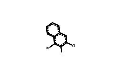 Clc1cc2ccccc2c(Br)c1Cl